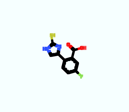 O=C(O)c1cc(F)ccc1-c1c[nH]c(S)n1